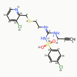 C#CCN/C(=N/CCSCc1ncccc1Cl)NS(=O)(=O)c1ccc(Cl)cc1